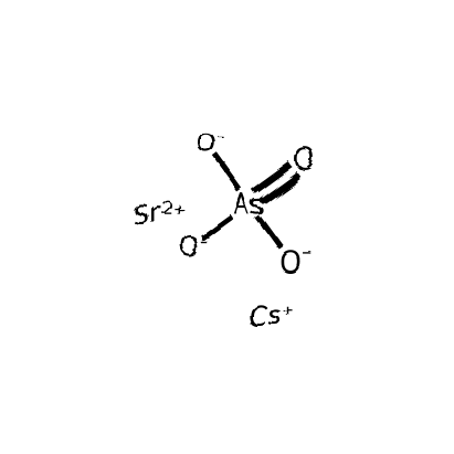 O=[As]([O-])([O-])[O-].[Cs+].[Sr+2]